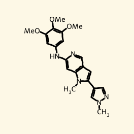 COc1cc(Nc2cc3c(cn2)cc(-c2cnn(C)c2)n3C)cc(OC)c1OC